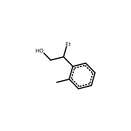 CCC(CO)c1ccccc1C